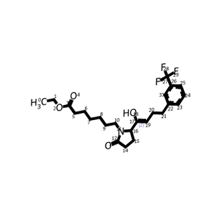 CCOC(=O)CCCCCCN1C(=O)CCC1/C(O)=C/CCc1cccc(C(F)(F)F)c1